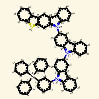 c1ccc([Si](c2ccccc2)(c2ccccc2)c2cccc(-n3c4ccccc4c4cc(-n5c6ccccc6c6cc(-n7c8ccccc8c8cc9c(cc87)sc7ccccc79)ccc65)ccc43)c2)cc1